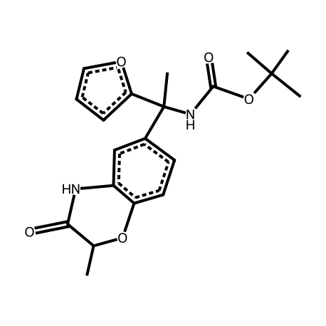 CC1Oc2ccc(C(C)(NC(=O)OC(C)(C)C)c3ccco3)cc2NC1=O